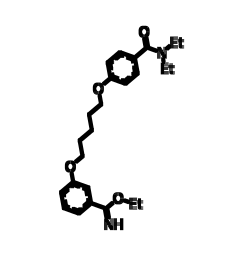 CCOC(=N)c1cccc(OCCCCCOc2ccc(C(=O)N(CC)CC)cc2)c1